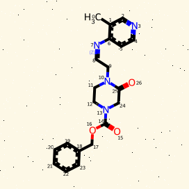 Cc1cnccc1/N=C\CN1CCN(C(=O)OCc2ccccc2)CC1=O